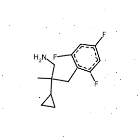 CC(CN)(Cc1c(F)cc(F)cc1F)C1CC1